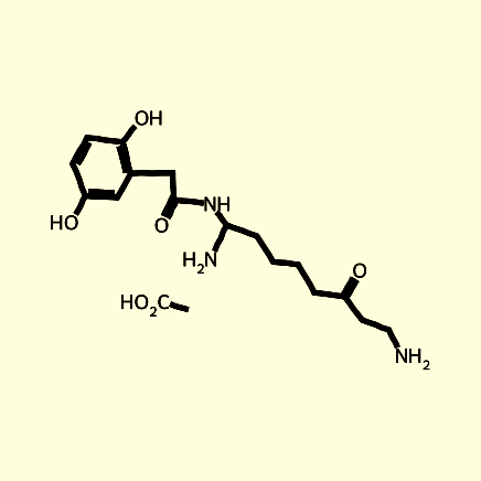 CC(=O)O.NCCC(=O)CCCCC(N)NC(=O)Cc1cc(O)ccc1O